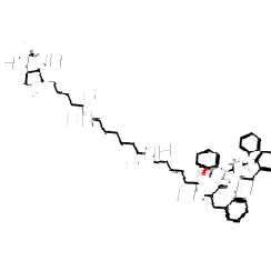 O=C(CCCCCNC(=O)CCCC[C@H]1SCC2NC(=O)NC21)NCCCCCC(=O)NC(Cc1ccccc1)C(=O)NC(Cc1ccccc1)P(=O)(Oc1ccccc1)Oc1ccccc1